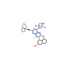 CCc1cccc2cc(O)cc(-c3nnc4c(N5C[C@H]6C[C@@H]5CN6)nc(C#C[C@@]56CCCN5C[C@H](F)C6)nc4c3F)c12